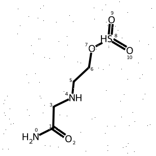 NC(=O)CNCCO[SH](=O)=O